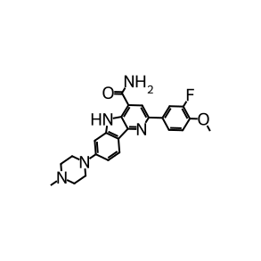 COc1ccc(-c2cc(C(N)=O)c3[nH]c4cc(N5CCN(C)CC5)ccc4c3n2)cc1F